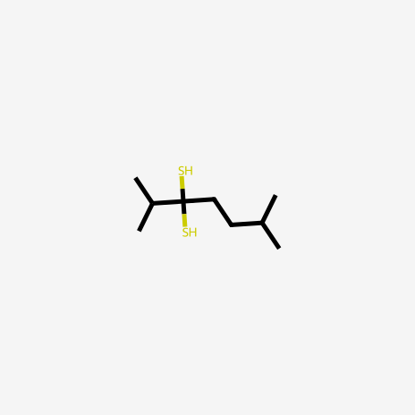 CC(C)CCC(S)(S)C(C)C